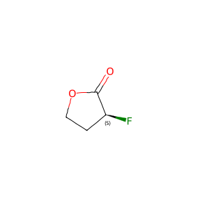 O=C1OCC[C@@H]1F